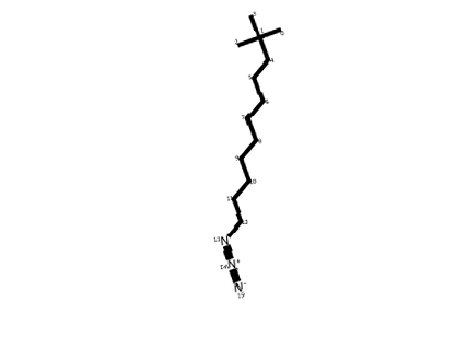 CC(C)(C)CCCCCCCCCN=[N+]=[N-]